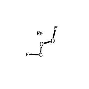 FOOOF.[Re]